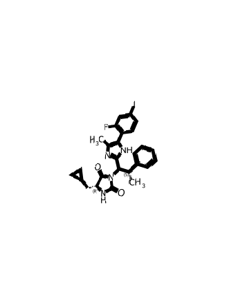 Cc1nc(C([C@@H](C)c2ccccc2)N2C(=O)N[C@H](CC3CC3)C2=O)[nH]c1-c1ccc(I)cc1F